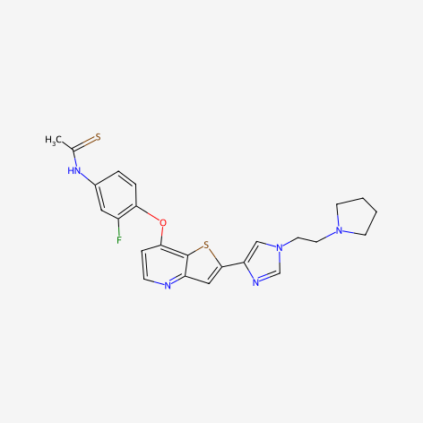 CC(=S)Nc1ccc(Oc2ccnc3cc(-c4cn(CCN5CCCC5)cn4)sc23)c(F)c1